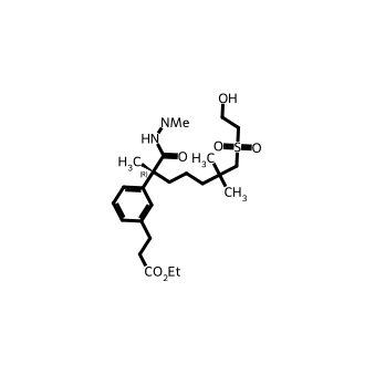 CCOC(=O)CCc1cccc([C@@](C)(CCCC(C)(C)CS(=O)(=O)CCO)C(=O)NNC)c1